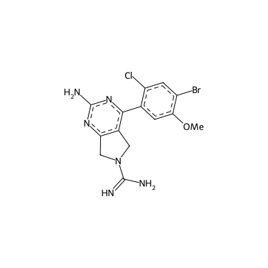 COc1cc(-c2nc(N)nc3c2CN(C(=N)N)C3)c(Cl)cc1Br